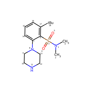 CN(C)S(=O)(=O)c1c(N2CCNCC2)cccc1C(C)(C)C